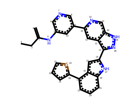 C=C(CC)Nc1cncc(-c2cc3c(-c4cc5c(-c6cccs6)cccc5[nH]4)n[nH]c3cn2)c1